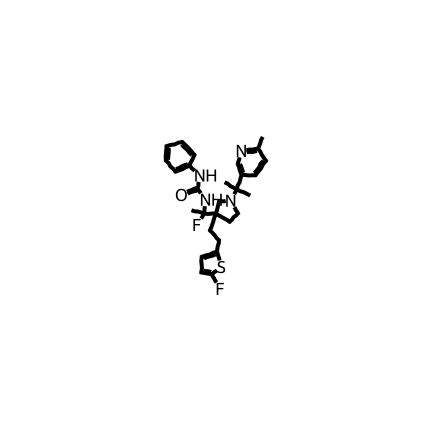 Cc1ccc(C(C)(C)N2CCC(CCc3ccc(F)s3)(C(C)(F)NC(=O)Nc3ccccc3)C2)cn1